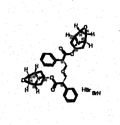 Br.Br.CN1[C@@H]2C[C@@H](OC(=O)[C@H](COC[C@@H](C(=O)O[C@@H]3C[C@@H]4[C@H]5O[C@H]5[C@H](C3)N4C)c3ccccc3)c3ccccc3)C[C@H]1[C@@H]1O[C@@H]12